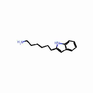 NCCCCCCc1cc2ccccc2[nH]1